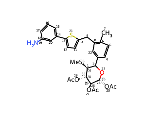 CS[C@H]1C(c2ccc(C)c(Cc3ccc(-c4cccc(N)c4)s3)c2)O[C@H](OC(C)=O)[C@@H](OC(C)=O)[C@@H]1OC(C)=O